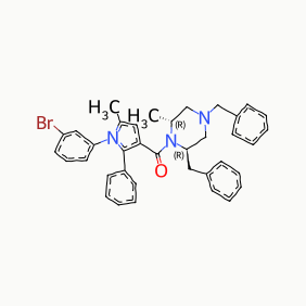 Cc1cc(C(=O)N2[C@H](Cc3ccccc3)CN(Cc3ccccc3)C[C@H]2C)c(-c2ccccc2)n1-c1cccc(Br)c1